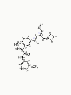 C=N/C=C(\C=C(/C)c1ccc2[nH]nc(C(=O)Nc3cncc(C(F)(F)F)c3)c2c1)CN1CCC1